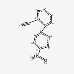 N#Cc1ccccc1-c1ccc([SH](=O)=O)cc1